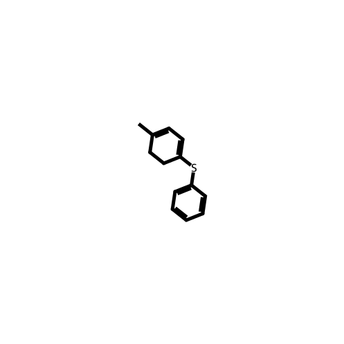 CC1=CC=C(Sc2ccccc2)CC1